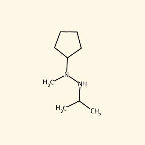 CC(C)NN(C)C1CCCC1